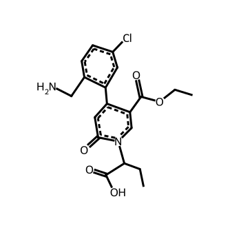 CCOC(=O)c1cn(C(CC)C(=O)O)c(=O)cc1-c1cc(Cl)ccc1CN